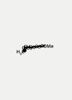 COCCOCCOCCOCCOCCOCCOCCN(C)C(=O)C1CCCN(C)C1